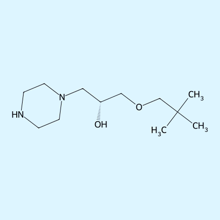 CC(C)(C)COC[C@H](O)CN1CCNCC1